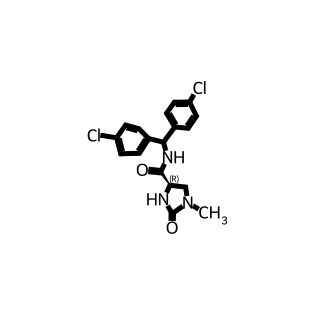 CN1C[C@H](C(=O)NC(c2ccc(Cl)cc2)c2ccc(Cl)cc2)NC1=O